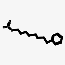 O=[N+]([O-])OCCCCCCCCc1ccccc1